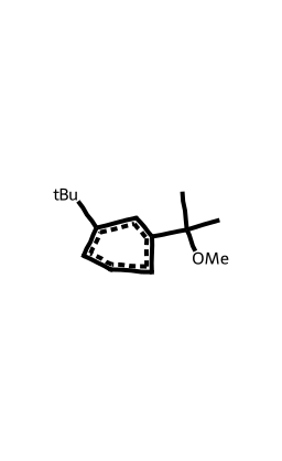 COC(C)(C)c1cccc(C(C)(C)C)c1